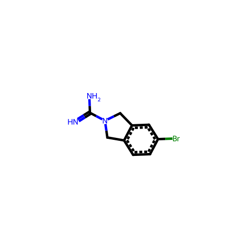 N=C(N)N1Cc2ccc(Br)cc2C1